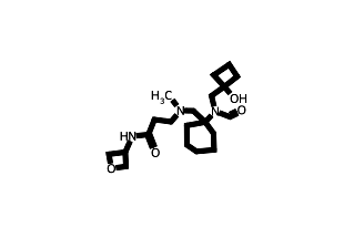 CN(CCC(=O)NC1COC1)CC1(N(C=O)CC2(O)CCC2)CCCCC1